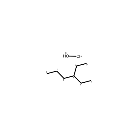 CCCC(CC)CC.OCl